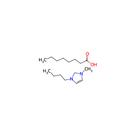 CCCCCCCC(=O)O.CCCCN1C=CN(C)C1